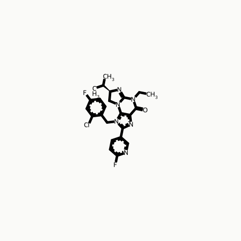 CCN1C(=O)c2nc(-c3ccc(F)nc3)n(Cc3ccc(F)cc3Cl)c2N2C[C@@H](C(C)C)N=C12